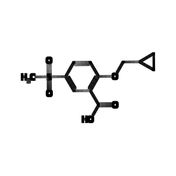 CS(=O)(=O)c1ccc(OCC2CC2)c(C(=O)O)c1